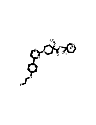 COC1(C(=O)NC2(C)CCN3CCC2CC3)CCN(c2nccc(-c3ccc(OCCF)cc3)n2)CC1